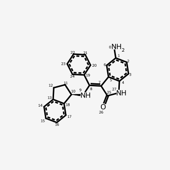 Nc1ccc2c(c1)/C(=C(/N[C@@H]1CCc3ccccc31)c1ccccc1)C(=O)N2